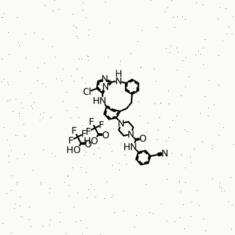 N#Cc1cccc(NC(=O)N2CCN(c3ccc4cc3CCc3cccc(c3)Nc3ncc(Cl)c(n3)N4)CC2)c1.O=C(O)C(F)(F)F.O=C(O)C(F)(F)F